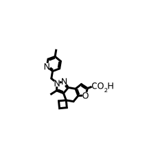 Cc1ccc(Cn2nc3c(c2C)C2(CCC2)Cc2oc(C(=O)O)cc2-3)nc1